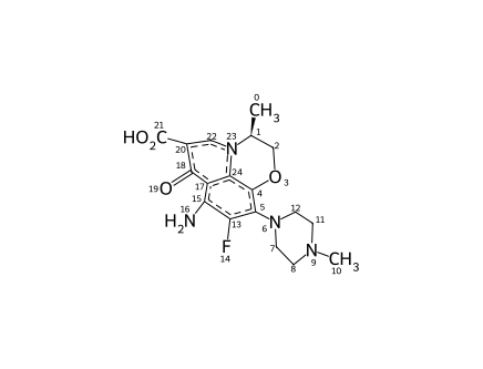 C[C@H]1COc2c(N3CCN(C)CC3)c(F)c(N)c3c(=O)c(C(=O)O)cn1c23